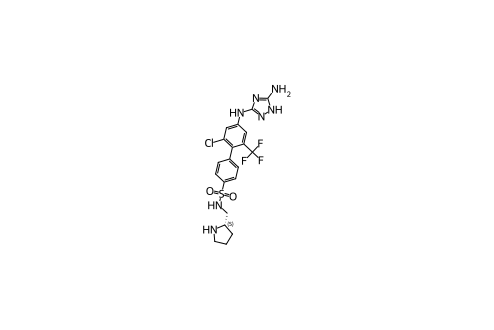 Nc1nc(Nc2cc(Cl)c(-c3ccc(S(=O)(=O)NC[C@@H]4CCCN4)cc3)c(C(F)(F)F)c2)n[nH]1